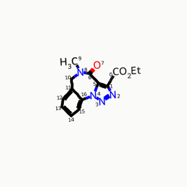 CCOC(=O)c1nnn2c1C(=O)N(C)Cc1ccccc1-2